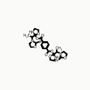 CC(C)C1OCCN1C(C)C1(OC(=O)c2ccc(C(=O)OC3(C(C)N4CCOC4C(C)C)NCCO3)cc2)NCCO1